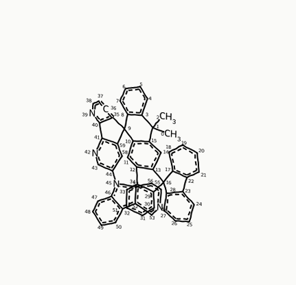 CC1(C)c2ccccc2C2(c3cc4c(cc31)C1(c3ccccc3-c3ccccc31)c1ccccc1-4)c1cccnc1-c1ncc(-n3c4ccccc4c4cnccc43)cc12